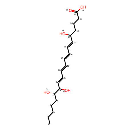 CCCCC[C@H](O)C(O)C=CC=CC=CC=CC(O)CCCC(=O)O